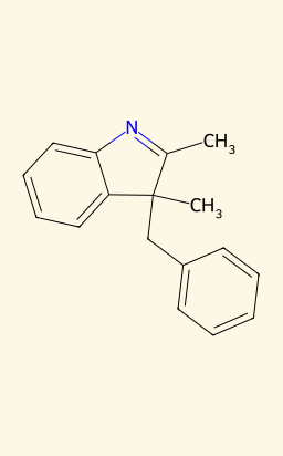 CC1=Nc2ccccc2C1(C)Cc1ccccc1